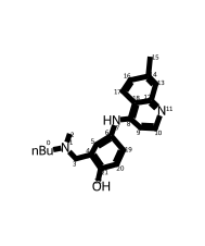 CCCCN(C)Cc1cc(Nc2ccnc3cc(C)ccc23)ccc1O